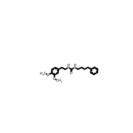 COc1ccc(CCNC(=O)NCCCCc2ccccc2)cc1OC